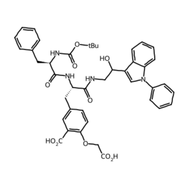 CC(C)(C)OC(=O)N[C@H](Cc1ccccc1)C(=O)N[C@@H](Cc1ccc(OCC(=O)O)c(C(=O)O)c1)C(=O)NCC(O)c1cn(-c2ccccc2)c2ccccc12